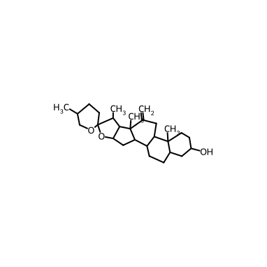 C=C1CC2C(CCC3CC(O)CCC32C)C2CC3OC4(CCC(C)CO4)C(C)C3C12C